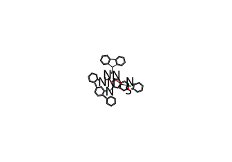 c1ccc(-c2nc(C3c4ccccc4-c4ccccc43)nc(-n3c4ccccc4c4ccc5c6ccccc6n(-c6cccc(-c7nc8ccccc8s7)c6)c5c43)n2)cc1